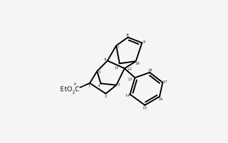 CCOC(=O)C1CC2CC1C1C3C=CC(C3)C21c1ccccc1